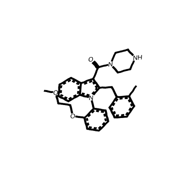 COCCOc1ccccc1-n1c(Cc2ccccc2C)c(C(=O)N2CCNCC2)c2ccccc21